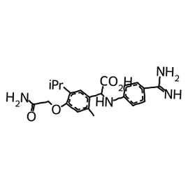 Cc1cc(OCC(N)=O)c(C(C)C)cc1C(Nc1ccc(C(=N)N)cc1)C(=O)O